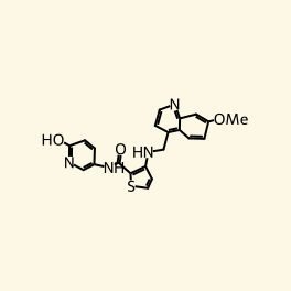 COc1ccc2c(CNc3ccsc3C(=O)Nc3ccc(O)nc3)ccnc2c1